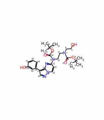 CC(C)(C)OC(=O)N(CCO)CCN(C(=O)OC(C)(C)C)c1ccn2ncc(-c3cccc(O)c3)c2n1